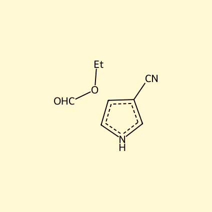 CCOC=O.N#Cc1cc[nH]c1